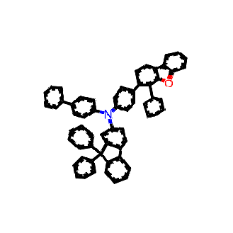 c1ccc(-c2ccc(N(c3ccc(-c4ccc5c(oc6ccccc65)c4-c4ccccc4)cc3)c3ccc4c(c3)C(c3ccccc3)(c3ccccc3)c3ccccc3-4)cc2)cc1